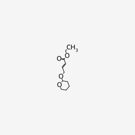 CCOC(=O)/C=C/COC1CCCCO1